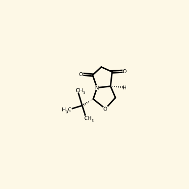 CC(C)(C)[C@H]1OC[C@@H]2C(=O)CC(=O)N21